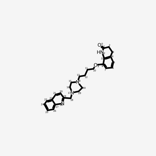 O=C1CCc2cccc(OCCCCN3CCN(Cc4ccc5ccccc5n4)CC3)c2N1